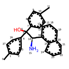 Cc1ccc(C(O)(c2ccc(C)cc2)[C@H](N)c2cccc3ccccc23)cc1